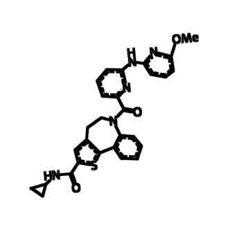 COc1cccc(Nc2cccc(C(=O)N3CCc4cc(C(=O)NC5CC5)sc4-c4ccccc43)n2)n1